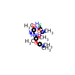 COc1cc2ncnc(Nc3cc(C)c(Oc4ccc(N(C)C)cc4)cc3OC)c2cc1NC(=O)/C(F)=C\[C@H]1CCCN1C